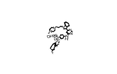 CN1CCN(CCCn2cc(-c3cc(Nc4ccc(N(OC=O)S(=O)(=O)c5ccc(F)cc5F)cc4)ncn3)c3ccccc32)CC1